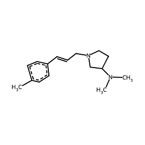 Cc1ccc(/C=C/CN2CCC(N(C)C)C2)cc1